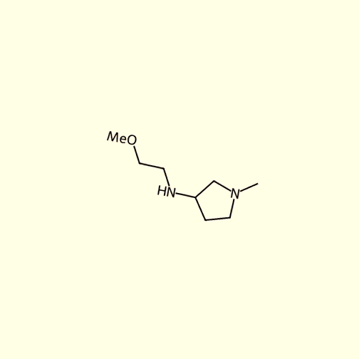 COCCNC1CCN(C)C1